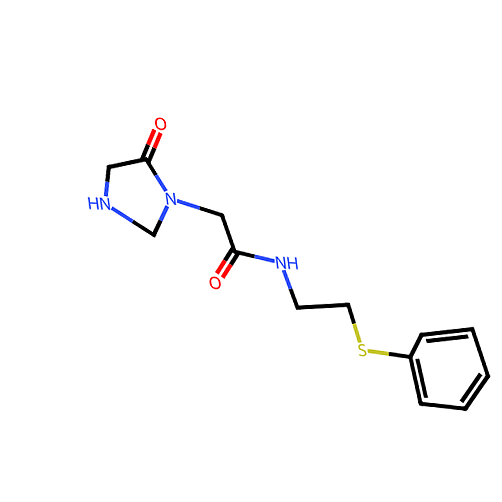 O=C(CN1CNCC1=O)NCCSc1ccccc1